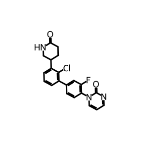 O=C1CCC(c2cccc(-c3ccc(-n4cccnc4=O)c(F)c3)c2Cl)CN1